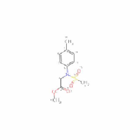 COC(=O)CN(c1ccc(C)cc1)S(C)(=O)=O